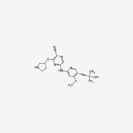 COc1cc(Nc2cnc(C#N)c(OC3CCNC3)n2)ncc1C#CC(C)(C)O